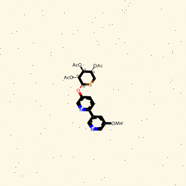 COc1cncc(-c2ccc(O[C@H]3SC[C@@H](OC(C)=O)[C@H](OC(C)=O)[C@H]3OC(C)=O)cn2)c1